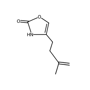 C=C(C)CCc1coc(=O)[nH]1